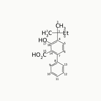 CCC(C)(C)c1ccc(-c2ccccc2)c(C(=O)O)c1O